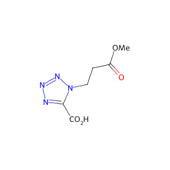 COC(=O)CCn1nnnc1C(=O)O